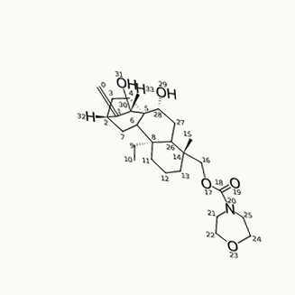 C=C1[C@H]2CC[C@]3(C(C2)[C@]2(CC)CCC[C@@](C)(COC(=O)N4CCOCC4)C2C[C@H]3O)[C@H]1O